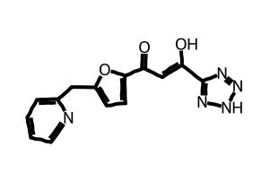 O=C(C=C(O)c1nn[nH]n1)c1ccc(Cc2ccccn2)o1